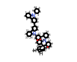 c1ccc(-n2c3ccccc3c3cc(-c4ccc5c(c4)c4ccccc4n5-c4cccc(-c5ccccc5N5c6ccccc6C6(c7ccccc75)C5C[C@H]7C[C@@H](C5)C[C@@H]6C7)c4)ccc32)cc1